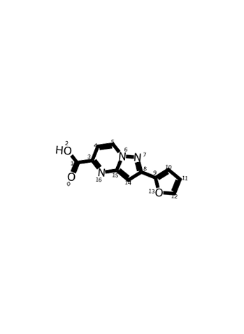 O=C(O)c1ccn2nc(-c3ccco3)cc2n1